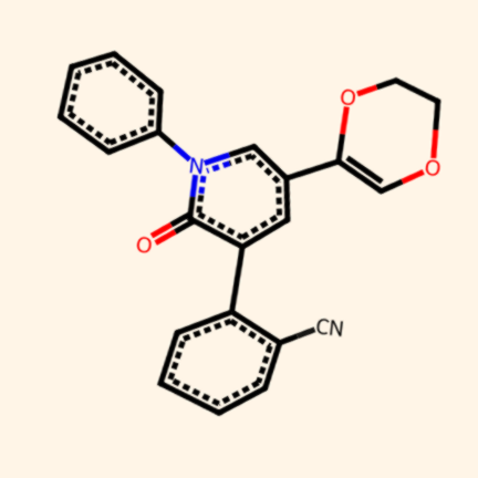 N#Cc1ccccc1-c1cc(C2=COCCO2)cn(-c2ccccc2)c1=O